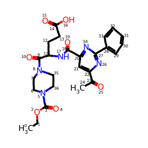 CCOC(=O)N1CCN(C(=O)C(CCC(=O)O)NC(=O)c2cc(C(C)=O)nc(-c3ccccc3)n2)CC1